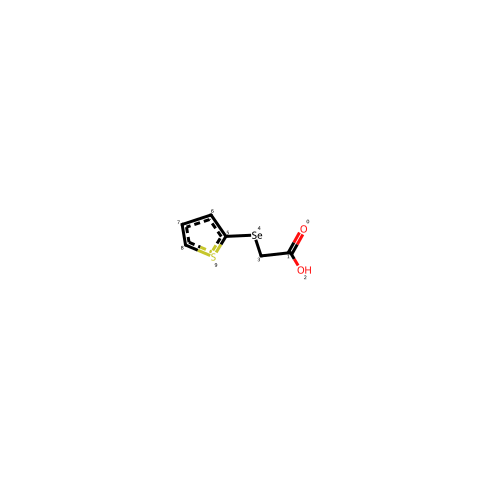 O=C(O)C[Se]c1cccs1